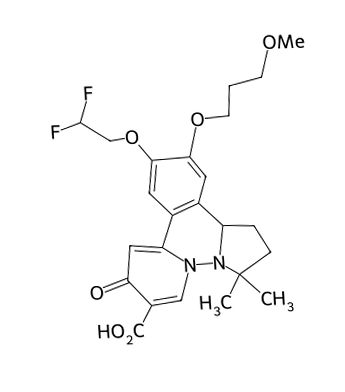 COCCCOc1cc2c(cc1OCC(F)F)-c1cc(=O)c(C(=O)O)cn1N1C2CCC1(C)C